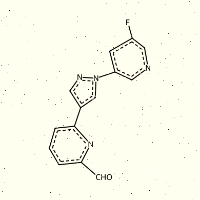 O=Cc1cccc(-c2cnn(-c3cncc(F)c3)c2)n1